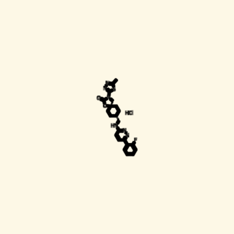 Cc1nnc(N2C[C@]3(CC[C@@H](CNc4ccc(-c5ccccc5F)nn4)CC3)OC2=O)s1.Cl